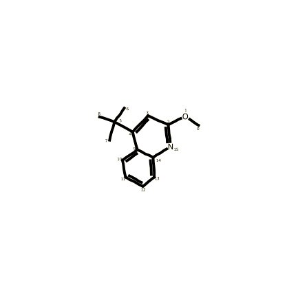 COc1cc(C(C)(C)C)c2ccccc2n1